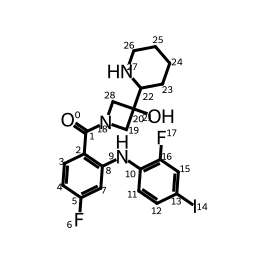 O=C(c1ccc(F)cc1Nc1ccc(I)cc1F)N1CC(O)(C2CCCCN2)C1